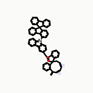 C=C1/C=C\C=C/CC2(c3ccccc31)c1ccccc1-c1c(-c3ccc4c(c3)c3ccccc3n4-c3cccc4c3-c3ccccc3C43c4ccccc4-c4ccccc43)cccc12